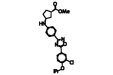 COC(=O)[C@@H]1CC[C@H](Nc2ccc(-c3noc(-c4ccc(OC(C)C)c(Cl)c4)n3)cc2)C1